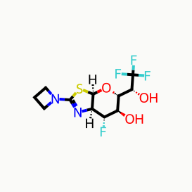 O[C@H]1[C@H](F)[C@H]2N=C(N3CCC3)S[C@H]2O[C@@H]1[C@@H](O)C(F)(F)F